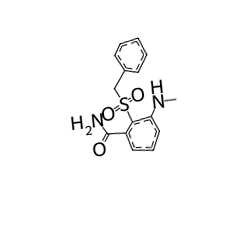 CNc1cccc(C(N)=O)c1S(=O)(=O)Cc1ccccc1